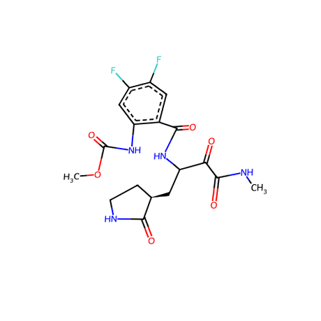 CNC(=O)C(=O)C(C[C@@H]1CCNC1=O)NC(=O)c1cc(F)c(F)cc1NC(=O)OC